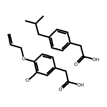 C=CCOc1ccc(CC(=O)O)cc1Cl.CC(C)Cc1ccc(CC(=O)O)cc1